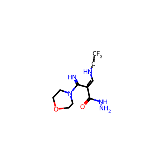 N=C(/C(=C\NCC(F)(F)F)C(=O)NN)N1CCOCC1